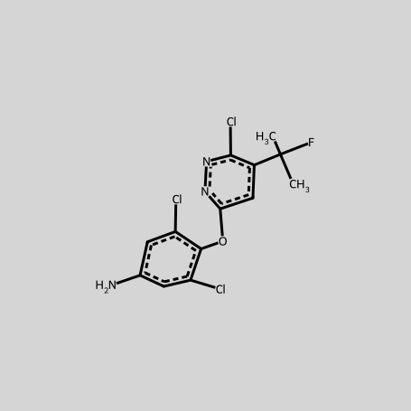 CC(C)(F)c1cc(Oc2c(Cl)cc(N)cc2Cl)nnc1Cl